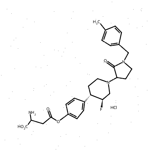 Cc1ccc(CN2CCC(N3CC[C@@H](c4ccc(OC(=O)CC(N)C(=O)O)cc4)[C@H](F)C3)C2=O)cc1.Cl